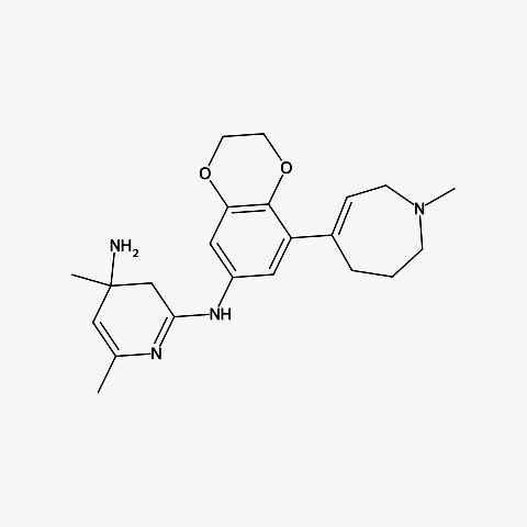 CC1=CC(C)(N)CC(Nc2cc3c(c(C4=CCN(C)CCC4)c2)OCCO3)=N1